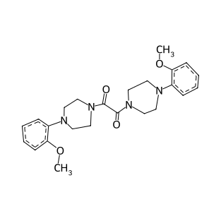 COc1ccccc1N1CCN(C(=O)C(=O)N2CCN(c3ccccc3OC)CC2)CC1